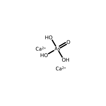 O=[As](O)(O)O.[Ca+2].[Ca+2]